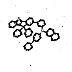 c1ccc(-c2ccc(N(c3cccc(-c4ccc5c(c4)C(c4ccccc4)(c4ccccc4)c4c-5sc5ccccc45)c3)c3ccc4ccccc4c3)cc2)cc1